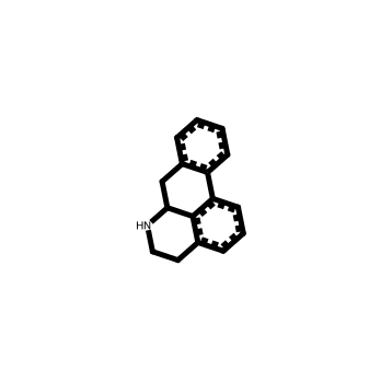 c1ccc2c(c1)CC1NCCc3cccc-2c31